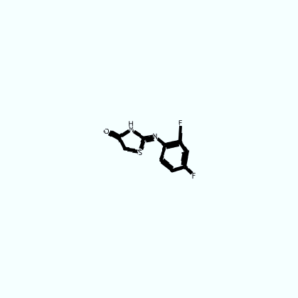 O=C1CS/C(=N\c2ccc(F)cc2F)N1